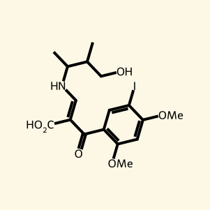 COc1cc(OC)c(C(=O)C(=CNC(C)C(C)CO)C(=O)O)cc1I